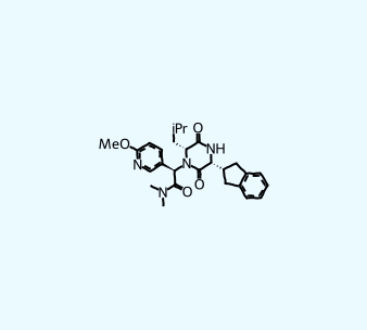 COc1ccc([C@H](C(=O)N(C)C)N2C(=O)[C@@H](C3Cc4ccccc4C3)NC(=O)[C@H]2CC(C)C)cn1